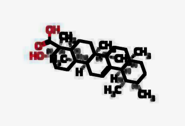 C[C@@H]1[C@H]2C3=CC[C@H]4[C@@]5(C)CC[C@H](O)[C@@](C)(C(=O)O)[C@H]5CC[C@@]4(C)[C@@]3(C)CC[C@@]2(C)CC[C@@H]1C